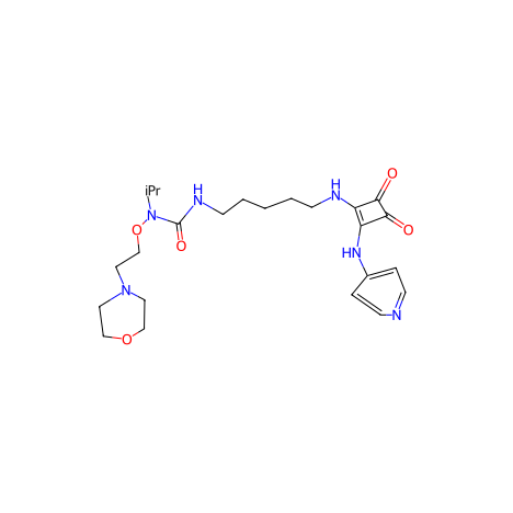 CC(C)N(OCCN1CCOCC1)C(=O)NCCCCCNc1c(Nc2ccncc2)c(=O)c1=O